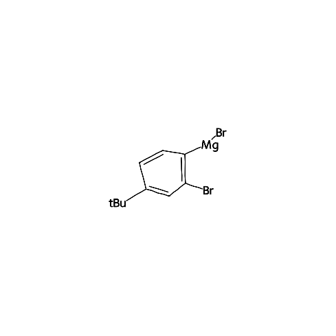 CC(C)(C)c1cc[c]([Mg][Br])c(Br)c1